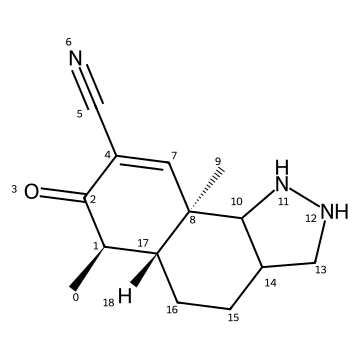 C[C@H]1C(=O)C(C#N)=C[C@@]2(C)C3NNCC3CC[C@H]12